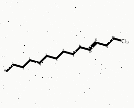 CCCCCCCCCCC=CCCCl